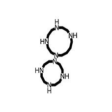 C1CCN(N2CCNCCNCCNCC2)CCNCCNCCNC1